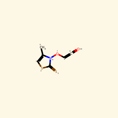 Cc1csc(=S)n1OC=C=O